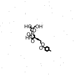 Cc1ccc(C(=O)OCCC#Cc2cn(C3CC(O)C(CO)O3)c(=O)[nH]c2=O)cc1